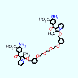 Cc1c(C(=O)c2ccc(N)c(C(=O)O)c2)c2ccccn2c1OCc1cccc(OCCOCCOCCOc2cccc(COc3c(C)c(C(=O)c4ccc(N)c(C(=O)O)c4)c4ccccn34)c2)c1